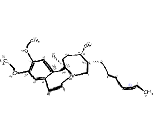 C/C=C/CCC[C@@H]1CN2CCc3cc(OC)c(OC)cc3[C@H]2C[C@H]1O